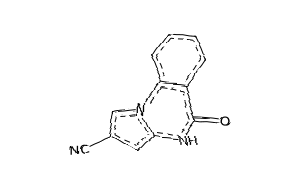 N#Cc1cc2[nH]c(=O)c3ccccc3n2c1